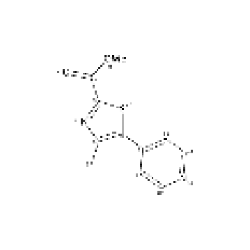 COC(=O)c1nc(C)c(-c2ccncc2)s1